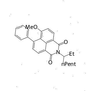 CCCCCC(CC)N1C(=O)c2ccc(OC)c3c(-c4ccccc4)ccc(c23)C1=O